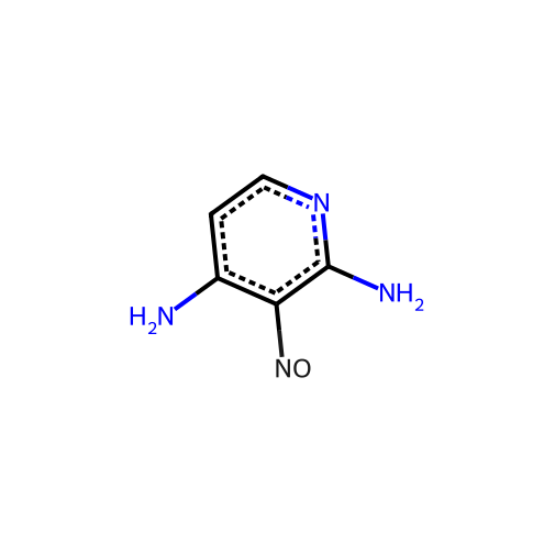 Nc1ccnc(N)c1N=O